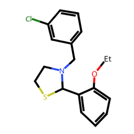 CCOc1ccccc1C1SCCN1Cc1cccc(Cl)c1